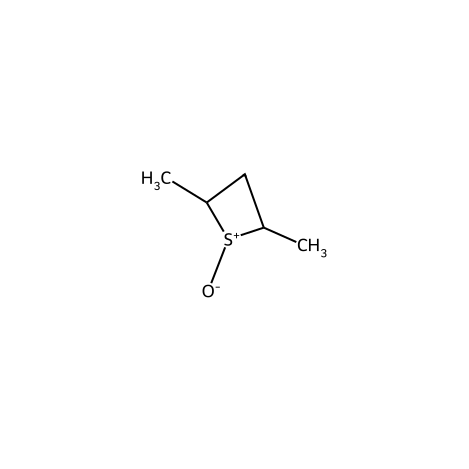 CC1CC(C)[S+]1[O-]